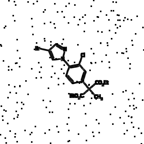 CCOC(=O)C(C)(C(=O)OCC)c1ccc(-n2cc(Br)cn2)c(Cl)c1